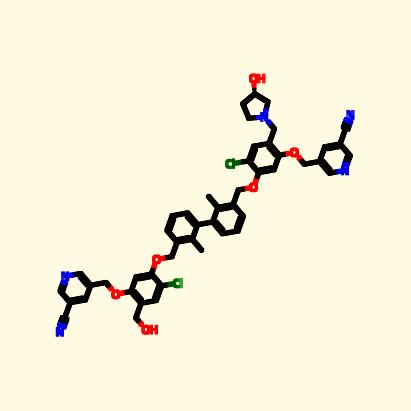 Cc1c(COc2cc(OCc3cncc(C#N)c3)c(CO)cc2Cl)cccc1-c1cccc(COc2cc(OCc3cncc(C#N)c3)c(CN3CC[C@@H](O)C3)cc2Cl)c1C